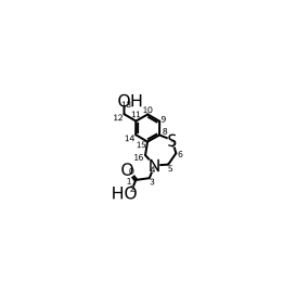 O=C(O)CN1CCSc2ccc(CO)cc2C1